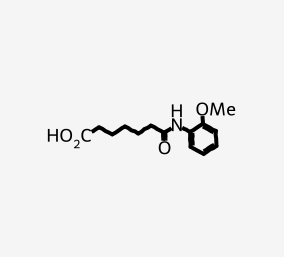 COc1ccccc1NC(=O)CCCCCC(=O)O